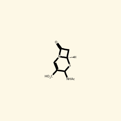 CC(=O)NC1S[C@@H]2CC(=O)N2C=C1C(=O)O